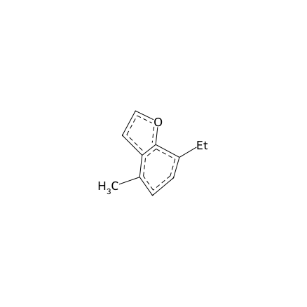 CCc1ccc(C)c2ccoc12